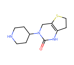 O=C1NC2=C(CN1C1CCNCC1)SCC2